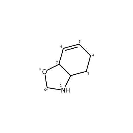 [C]1NC2CCC=CC2O1